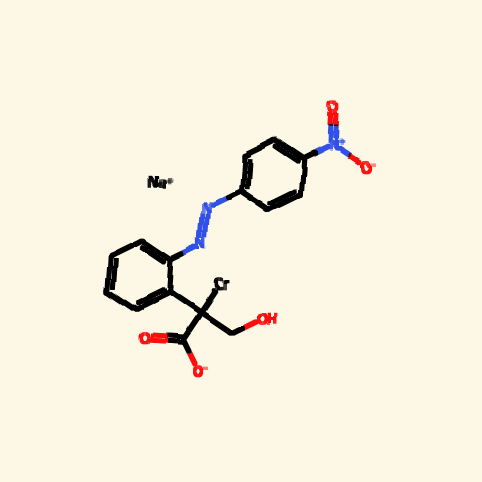 O=C([O-])[C]([Cr])(CO)c1ccccc1N=Nc1ccc([N+](=O)[O-])cc1.[Na+]